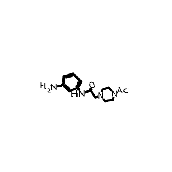 CC(=O)N1CCN(CC(=O)Nc2cccc(N)c2)CC1